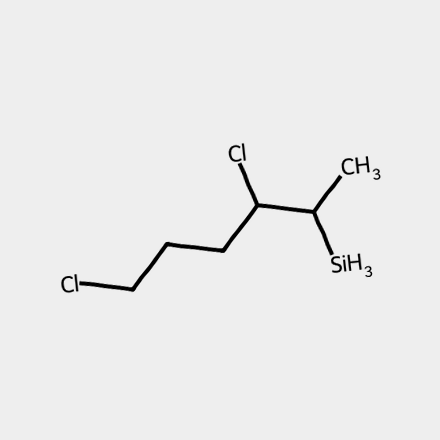 CC([SiH3])C(Cl)CCCCl